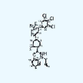 C#CCN(NC(=O)c1ccc(C(F)=CC(c2cc(Cl)c(Cl)c(Cl)c2)C(F)(F)F)cc1C)c1ncccn1